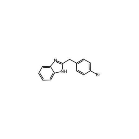 Brc1ccc(Cc2nc3ccccc3[nH]2)cc1